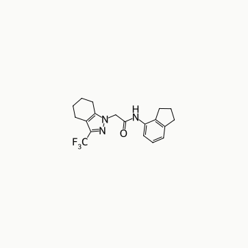 O=C(Cn1nc(C(F)(F)F)c2c1CCCC2)Nc1cccc2c1CCC2